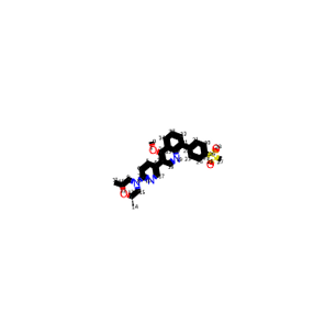 COc1c(-c2ccc(N3CC(C)O[C@@H](C)C3)nc2)cnc2c(-c3ccc(S(C)(=O)=O)cc3)cccc12